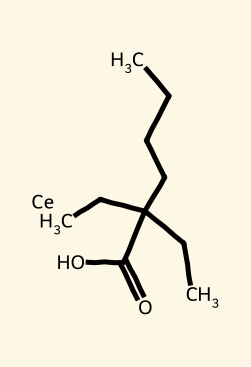 CCCCC(CC)(CC)C(=O)O.[Ce]